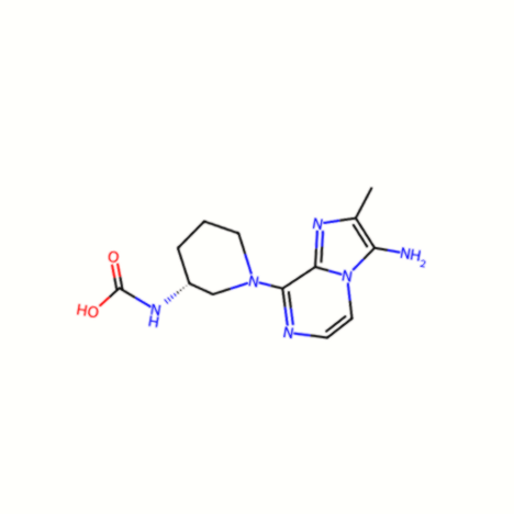 Cc1nc2c(N3CCC[C@@H](NC(=O)O)C3)nccn2c1N